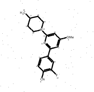 COc1cc(-c2ccc(C#N)c(F)c2)nc(N2CCC(C)CC2)c1